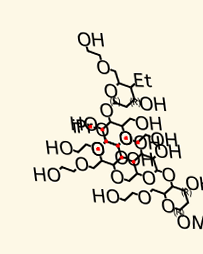 CCC1C(COCCO)O[C@@H](OC2C(CO)OC(OC3C(COC4C(COCCO)OC(OC(C)C)C(OCCO)C4O)OC(OC4C(COCCO)O[C@@H](OC)C[C@H]4O)C(O)C3O)C(OCCO)C2O)C[C@H]1O